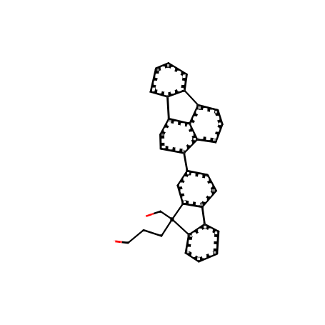 OCCCC1(CO)c2ccccc2-c2ccc(-c3ccc4c5c(cccc35)-c3ccccc3-4)cc21